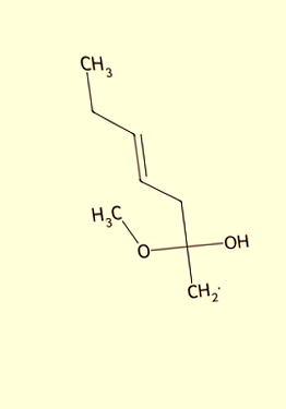 [CH2]C(O)(CC=CCC)OC